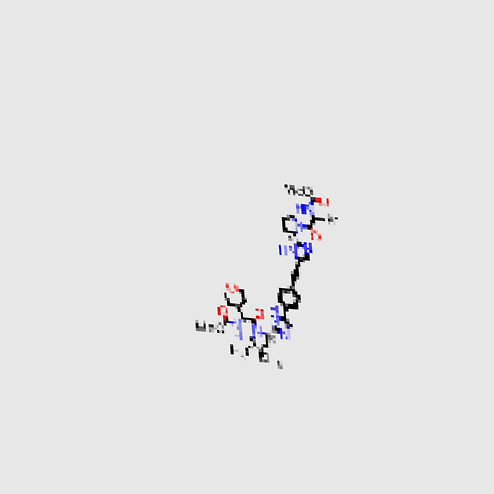 COC(=O)N[C@H](C(=O)N1CCC[C@H]1c1ncc(C#Cc2ccc(-c3cnc([C@@H]4C[Si](C)(C)CN4C(=O)[C@@H](NC(=O)OC)C4CCOCC4)[nH]3)cc2)[nH]1)C(C)C